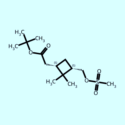 CC(C)(C)OC(=O)C[C@@H]1C[C@H](COS(C)(=O)=O)C1(C)C